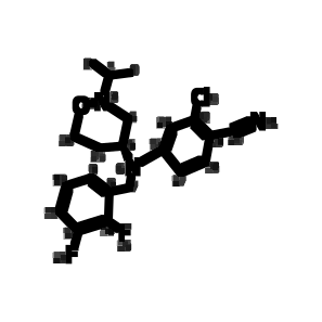 CC(C)N1C[C@@H](N(Cc2cccc(F)c2F)c2ccc(C#N)c(Cl)c2)CCO1